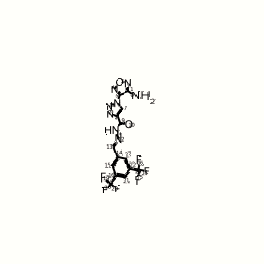 Nc1nonc1-n1cc(C(=O)N/N=C/c2cc(C(F)(F)F)cc(C(F)(F)F)c2)nn1